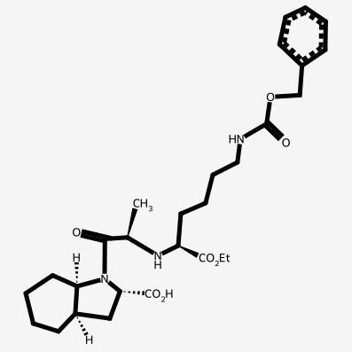 CCOC(=O)[C@H](CCCCNC(=O)OCc1ccccc1)N[C@H](C)C(=O)N1[C@@H]2CCCC[C@@H]2C[C@H]1C(=O)O